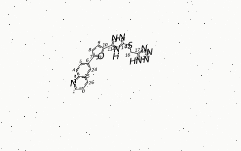 c1cnc2ccc(-c3ccc(-c4nnc(SCc5nnn[nH]5)[nH]4)o3)cc2c1